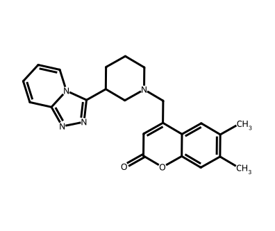 Cc1cc2oc(=O)cc(CN3CCCC(c4nnc5ccccn45)C3)c2cc1C